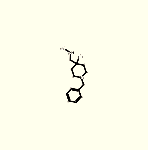 CC(C)(C)NCC1(O)CCN(Cc2ccccc2)CC1